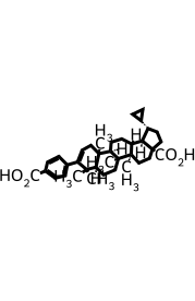 CC1(C)C(c2ccc(C(=O)O)cc2)=CC[C@]2(C)[C@H]3CC[C@@H]4[C@H]5[C@H](C6CC6)CC[C@]5(C(=O)O)CC[C@@]4(C)[C@]3(C)CC[C@@H]12